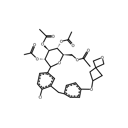 CC(=O)OC[C@H]1OC(c2ccc(Cl)c(Cc3ccc(OC4CC5(COC5)C4)cc3)c2)[C@H](OC(C)=O)[C@@H](OC(C)=O)[C@@H]1OC(C)=O